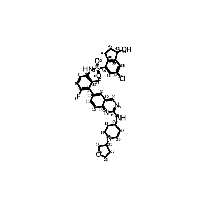 O=S(=O)(Nc1ccc(F)c(-c2ccc3nc(NC4CCN(C5CCOC5)CC4)ncc3c2)c1F)c1cc(Cl)cc2c1CCC2O